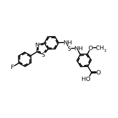 COc1cc(C(=O)O)ccc1NSNc1ccc2nc(-c3ccc(F)cc3)sc2c1